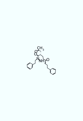 CC(=O)C[C@H](CCC(=O)CCCc1ccccc1)C(=O)N(N)CCc1ccccc1